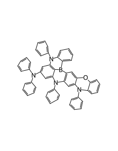 c1ccc(N(c2ccccc2)c2cc3c4c(c2)N(c2ccccc2)c2cc5c(cc2B4c2ccccc2N3c2ccccc2)Oc2ccccc2N5c2ccccc2)cc1